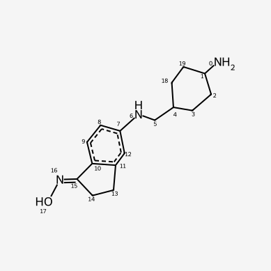 NC1CCC(CNc2ccc3c(c2)CCC3=NO)CC1